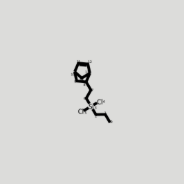 CCC[Si](Cl)(Cl)CCC1CC2C=CC1C2